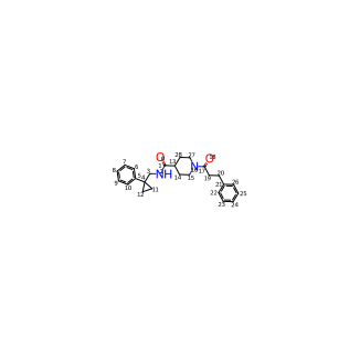 O=C(NCC1(c2ccccc2)CC1)C1CCN(C(=O)CCc2ccccc2)CC1